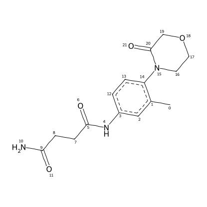 Cc1cc(NC(=O)CCC(N)=O)ccc1N1CCOCC1=O